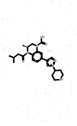 CC(C)CC(=O)N1c2ccc(-c3cnn(C4CCNCC4)c3)cc2N(C(=O)O)C[C@@H]1C